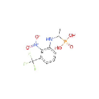 CC(Nc1cccc(C(F)(F)F)c1[N+](=O)[O-])P(=O)(O)O